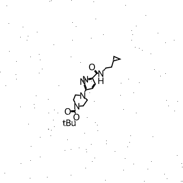 CC(C)(C)OC(=O)N1CCN(c2ccc(C(=O)NCCC3CC3)nn2)CC1